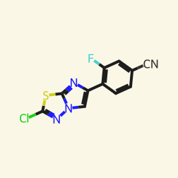 N#Cc1ccc(-c2cn3nc(Cl)sc3n2)c(F)c1